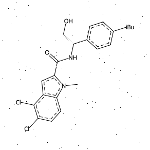 CCC(C)c1ccc([C@@H](CO)NC(=O)c2cc3c(Cl)c(Cl)ccc3n2C)cc1